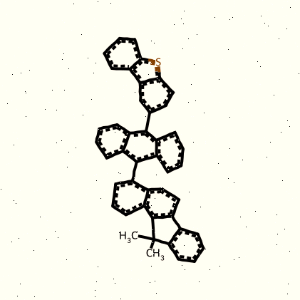 CC1(C)c2ccccc2-c2ccc3c(-c4c5ccccc5c(-c5ccc6sc7ccccc7c6c5)c5ccccc45)cccc3c21